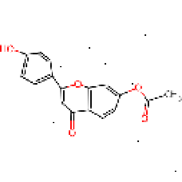 CC(=O)Oc1ccc2c(=O)cc(-c3ccc(O)cc3)oc2c1